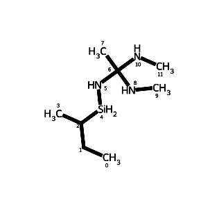 CCC(C)[SiH2]NC(C)(NC)NC